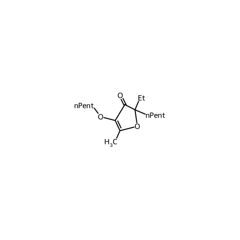 CCCCCOC1=C(C)OC(CC)(CCCCC)C1=O